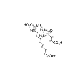 CCCCCCCCCCCCCCCCCCNC(C)C(=O)O.NC(=O)C(N)CCC(=O)O